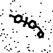 CC(C)c1ccc(S(=O)(=O)c2ccc(Cn3ccnc3)cc2)cc1